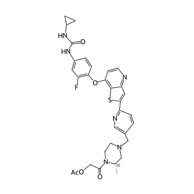 CC(=O)OCC(=O)N1CCN(Cc2ccc(-c3cc4nccc(Oc5ccc(NC(=O)NC6CC6)cc5F)c4s3)nc2)C[C@@H]1C